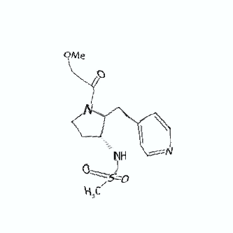 COCC(=O)N1CC[C@@H](NS(C)(=O)=O)C1Cc1ccncc1